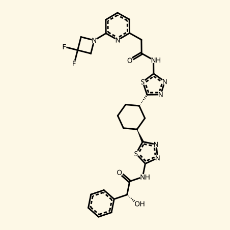 O=C(Cc1cccc(N2CC(F)(F)C2)n1)Nc1nnc([C@H]2CCC[C@H](c3nnc(NC(=O)[C@H](O)c4ccccc4)s3)C2)s1